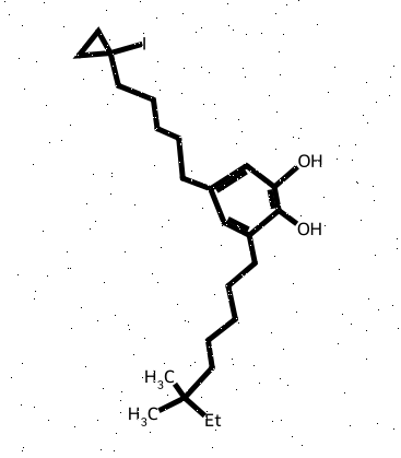 CCC(C)(C)CCCCCc1cc(CCCCCC2(I)CC2)cc(O)c1O